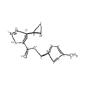 Cc1ccc(COC(=O)c2snnc2C2CC2)cc1